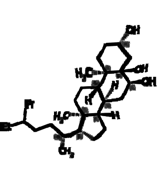 CCC(CC[C@@H](C)[C@H]1CC[C@H]2[C@@H]3C[C@H](O)[C@@]4(O)C[C@@H](O)CC[C@]4(C)[C@H]3CC[C@]12C)C(C)C